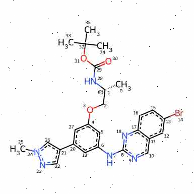 C[C@H](COc1cc(Nc2ncc3cc(Br)ccc3n2)cc(-c2cnn(C)c2)c1)NC(=O)OC(C)(C)C